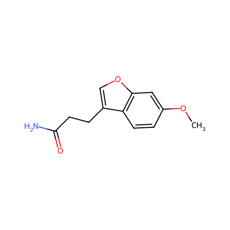 COc1ccc2c(CCC(N)=O)coc2c1